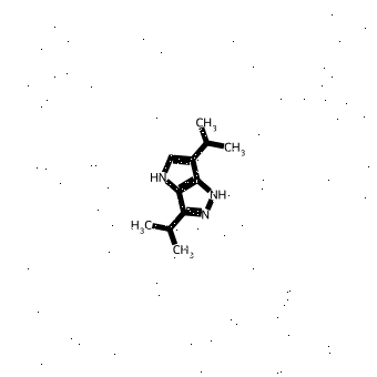 CC(C)c1c[nH]c2c(C(C)C)n[nH]c12